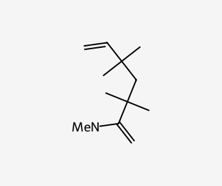 C=CC(C)(C)CC(C)(C)C(=C)NC